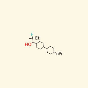 CCCC1CCC(C2CCC(C(O)C(C)(F)CC)CC2)CC1